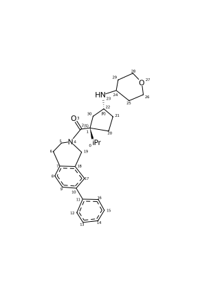 CC(C)[C@]1(C(=O)N2CCc3ccc(-c4ccccc4)cc3C2)CC[C@@H](NC2CCOCC2)C1